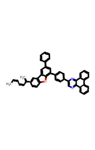 C=C(/C=C\C=C/C)c1ccc2oc3c(-c4ccc(-c5cnc6c7ccccc7c7ccccc7c6n5)cc4)cc(-c4ccccc4)cc3c2c1